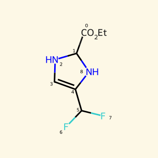 CCOC(=O)C1NC=C(C(F)F)N1